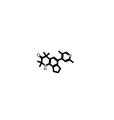 Cc1cc(-c2cc3c(c4c2CCC4)NC(C)(C)C(=O)C3(C)C)c(C)cn1